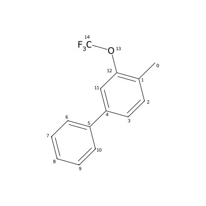 Cc1ccc(-c2ccccc2)cc1OC(F)(F)F